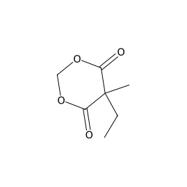 CCC1(C)C(=O)OCOC1=O